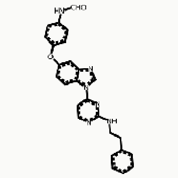 O=CNc1ccc(Oc2ccc3c(c2)ncn3-c2ccnc(NCCc3ccccc3)n2)cc1